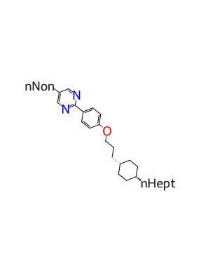 CCCCCCCCCc1cnc(-c2ccc(OCCC[C@H]3CC[C@H](CCCCCCC)CC3)cc2)nc1